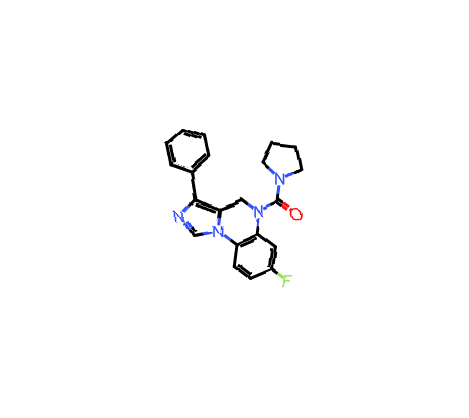 O=C(N1CCCC1)N1Cc2c(-c3ccccc3)ncn2-c2ccc(F)cc21